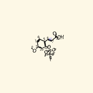 COc1ccc(/C=C/C(=O)O)c(OS(=O)(=O)C(F)(F)F)c1